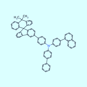 CC1(C)c2ccccc2C2(c3ccccc3-c3cc(-c4ccc(N(c5ccc(-c6ccccc6)cc5)c5ccc(-c6cccc7ccccc67)cc5)cc4)ccc32)c2ccccc21